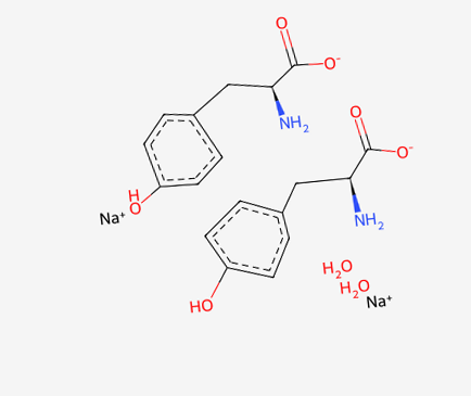 N[C@@H](Cc1ccc(O)cc1)C(=O)[O-].N[C@@H](Cc1ccc(O)cc1)C(=O)[O-].O.O.[Na+].[Na+]